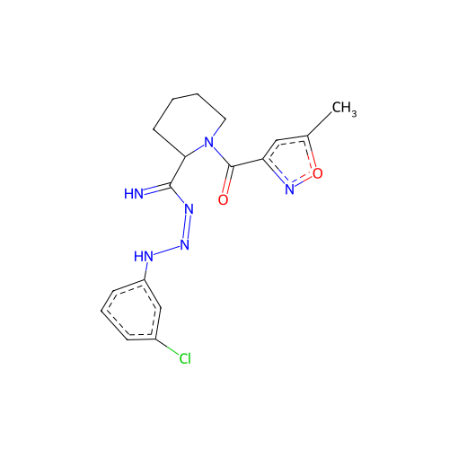 Cc1cc(C(=O)N2CCCCC2C(=N)/N=N\Nc2cccc(Cl)c2)no1